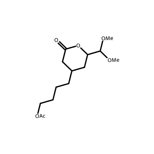 COC(OC)C1CC(CCCCOC(C)=O)CC(=O)O1